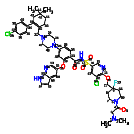 CN(C)CC(=O)N1CCC(F)(COc2ncc(S(=O)(=O)NC(=O)c3ccc(N4CCN(CC5=C(c6ccc(Cl)cc6)CC(C)(C)CC5)CC4)cc3Oc3cnc4[nH]ccc4c3)cc2Cl)CC1